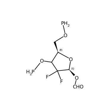 O=CO[C@@H]1O[C@H](COP)C(OP)C1(F)F